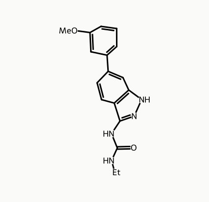 CCNC(=O)Nc1n[nH]c2cc(-c3cccc(OC)c3)ccc12